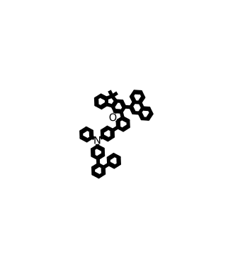 CC1(C)c2ccccc2-c2c1cc(-c1cc3ccccc3c3ccccc13)c1c2oc2c(-c3ccc(N(c4ccccc4)c4ccc(-c5ccccc5-c5ccccc5)cc4)cc3)cccc21